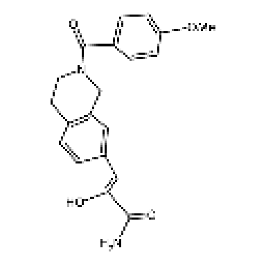 COc1ccc(C(=O)N2CCc3ccc(C=C(O)C(N)=O)cc3C2)cc1